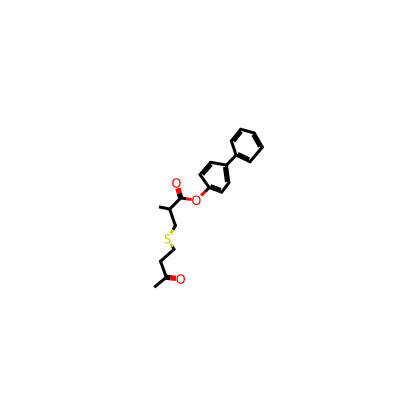 CC(=O)CCSCC(C)C(=O)Oc1ccc(-c2ccccc2)cc1